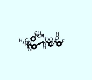 Cc1nc2cnc3ccc(C#CCNC(=O)c4cccn([C@@H](CO)c5cccc(F)c5)c4=O)cc3c2n1C1CCC(N(C)C)CC1